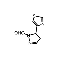 O=CN1N=CCC1c1cscn1